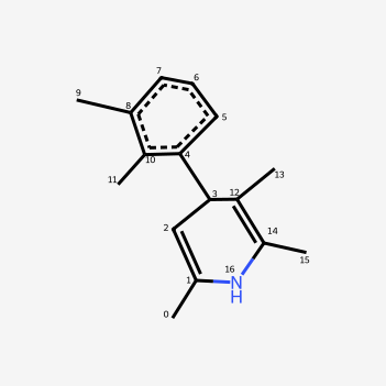 CC1=CC(c2cccc(C)c2C)C(C)=C(C)N1